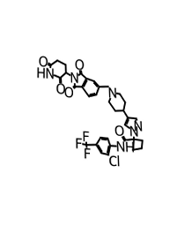 O=C1CCC(N2C(=O)c3ccc(CN4CCC(c5cnn(C6(C(=O)Nc7ccc(C(F)(F)F)cc7Cl)CCC6)c5)CC4)cc3C2=O)C(=O)N1